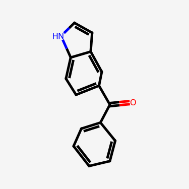 O=C(c1ccccc1)c1ccc2[nH]ccc2c1